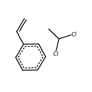 C=Cc1ccccc1.CC(Cl)Cl